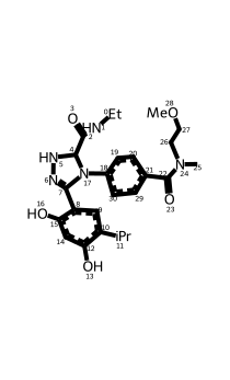 CCNC(=O)C1NN=C(c2cc(C(C)C)c(O)cc2O)N1c1ccc(C(=O)N(C)CCOC)cc1